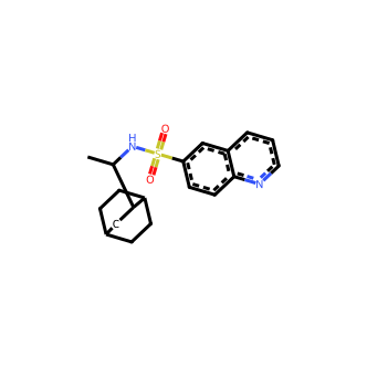 CC(NS(=O)(=O)c1ccc2ncccc2c1)C1CC2CCC1CC2